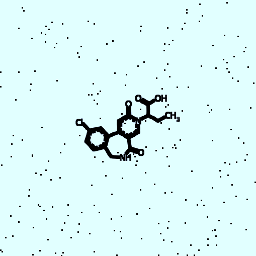 CCC(C(=O)O)n1cc2c(cc1=O)-c1cc(Cl)ccc1CNC2=O